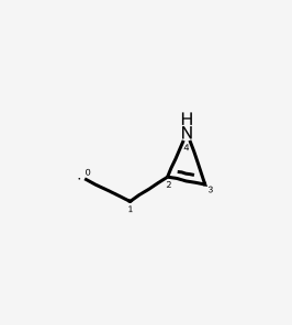 [CH2]CC1=CN1